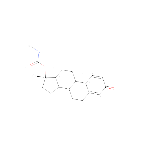 CCCCNC(=O)O[C@@]1(CC)CCC2C3CCC4=CC(=O)C=C[C@]4(C)C3CC[C@@]21C